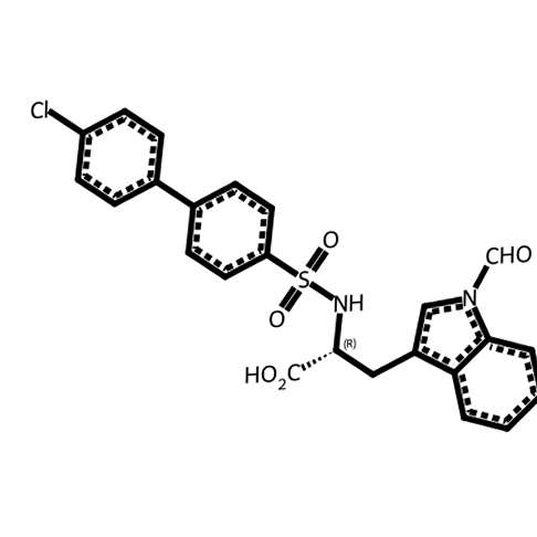 O=Cn1cc(C[C@@H](NS(=O)(=O)c2ccc(-c3ccc(Cl)cc3)cc2)C(=O)O)c2ccccc21